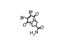 NC(=O)C1Cn2c(=O)c(Br)c(Br)c(=O)n2C1